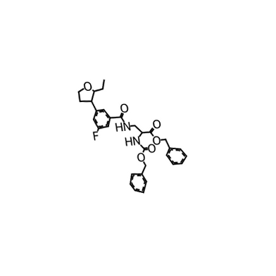 CCC1OCCC1c1cc(F)cc(C(=O)NCC(NC(=O)OCc2ccccc2)C(=O)OCc2ccccc2)c1